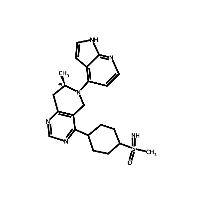 C[C@@H]1Cc2ncnc(C3CCC(S(C)(=N)=O)CC3)c2CN1c1ccnc2[nH]ccc12